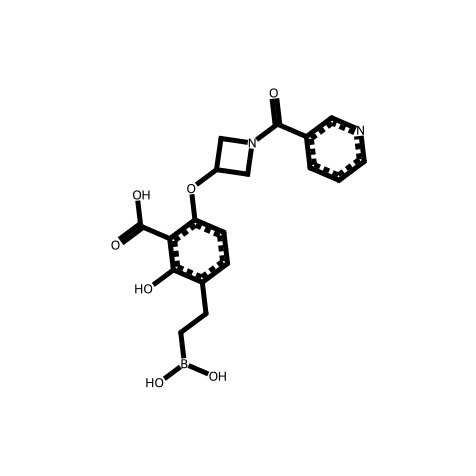 O=C(O)c1c(OC2CN(C(=O)c3cccnc3)C2)ccc(CCB(O)O)c1O